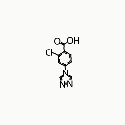 O=C(O)c1ccc(-n2cnnc2)cc1Cl